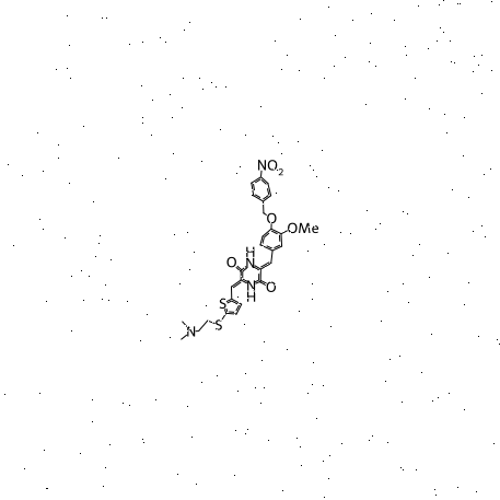 COc1cc(C=c2[nH]c(=O)c(=Cc3ccc(SCCN(C)C)s3)[nH]c2=O)ccc1OCc1ccc([N+](=O)[O-])cc1